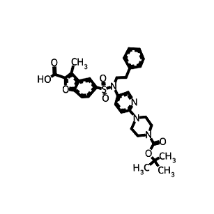 Cc1c(C(=O)O)oc2ccc(S(=O)(=O)N(CCc3ccccc3)c3ccc(N4CCN(C(=O)OC(C)(C)C)CC4)nc3)cc12